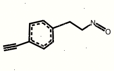 C#Cc1ccc(CCN=O)cc1